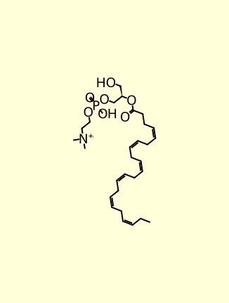 CC/C=C\C/C=C\C/C=C\C/C=C\C/C=C\C/C=C\CCC(=O)O[C@H](CO)COP(=O)(O)OCC[N+](C)(C)C